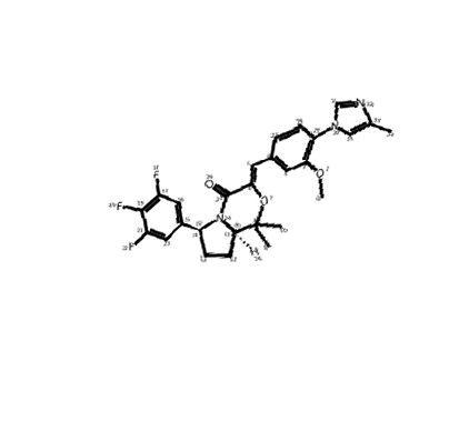 COc1cc(C=C2OC(C)(C)[C@H]3CC[C@@H](c4cc(F)c(F)c(F)c4)N3C2=O)ccc1-n1cnc(C)c1